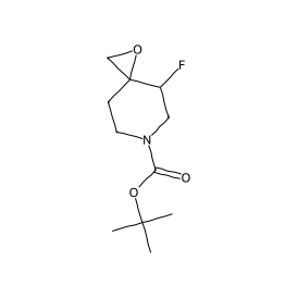 CC(C)(C)OC(=O)N1CCC2(CO2)C(F)C1